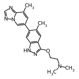 Cc1cc2c(OCCN(C)C)n[nH]c2cc1-c1cc(C)c2ncnn2c1